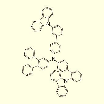 c1ccc(-c2ccc(N(c3ccc(-c4cccc(-n5c6ccccc6c6ccccc65)c4)cc3)c3ccc(-c4ccccc4-n4c5ccccc5c5ccccc54)cc3)cc2-c2ccccc2)cc1